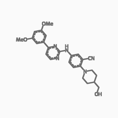 COc1cc(OC)cc(-c2ccnc(Nc3ccc(N4CCC(CO)CC4)c(C#N)c3)n2)c1